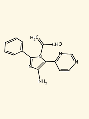 C=C(C=O)n1c(-c2ccccc2)nc(N)c1-c1ccncn1